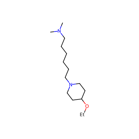 CCOC1CCN(CCCCCCN(C)C)CC1